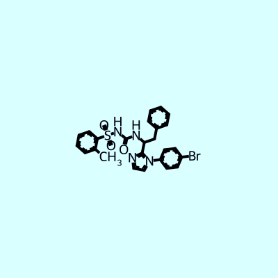 Cc1ccccc1S(=O)(=O)NC(=O)NC(Cc1ccccc1)c1nccn1-c1ccc(Br)cc1